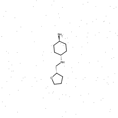 N[C@H]1CC[C@H](NC[C@@H]2CCCO2)CC1